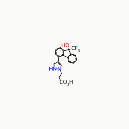 O=C(O)CCN1C=C(c2cccc3c2-c2ccccc2C3(O)C(F)(F)F)CN1